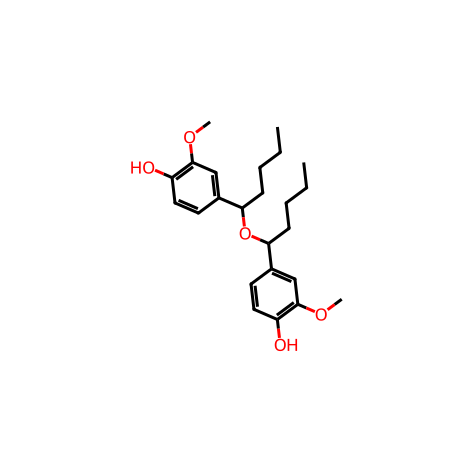 CCCCC(OC(CCCC)c1ccc(O)c(OC)c1)c1ccc(O)c(OC)c1